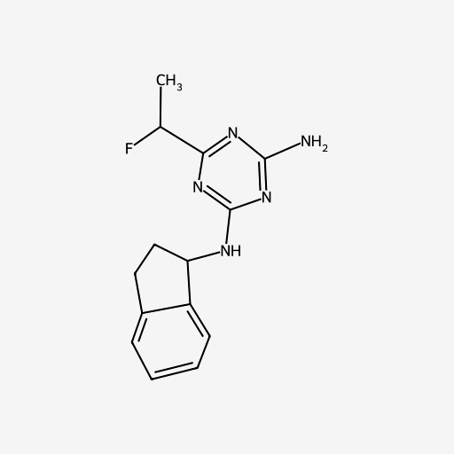 CC(F)c1nc(N)nc(NC2CCc3ccccc32)n1